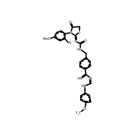 COc1ccc(N2C(=O)CS/C2=N\C(=O)NCc2ccc(C(=N)/N=C\Nc3ccc(OC(F)(F)F)cc3)cc2)c(C(C)C)c1